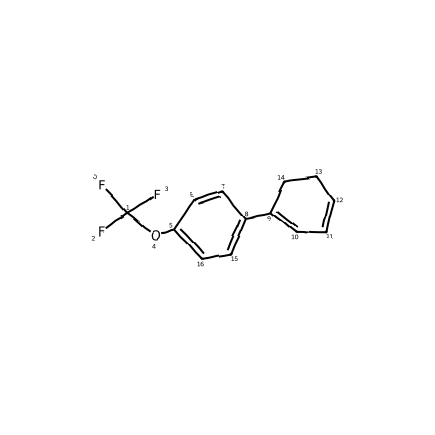 FC(F)(F)Oc1ccc(C2=CC=CCC2)cc1